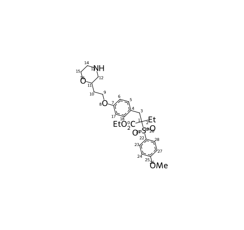 CCOC(=O)C(CC)(Cc1ccc(OCCC2CNCCO2)cc1)S(=O)(=O)c1ccc(OC)cc1